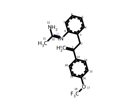 C=C(Cc1ccccc1/N=C(/C)N)c1ccc(OC(F)(F)F)cc1